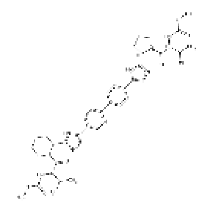 COC(=O)N[C@H](C(=O)N1CCC[C@H]1c1ncc(-c2ccc(-c3ccc(-c4cnc(C5CCCCC5C(=O)N(NC(=O)OC)C(C)C)[nH]4)cn3)cc2)[nH]1)C(C)C